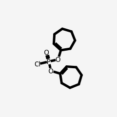 O=P(Cl)(OC1=CCCCCC1)OC1=CCCCCC1